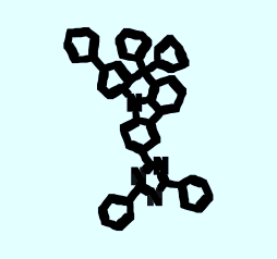 c1ccc(-c2ccc3c(c2)C(c2ccccc2)(c2ccccc2)c2cccc4c5cc(-c6nc(-c7ccccc7)nc(-c7ccccc7)n6)ccc5n-3c24)cc1